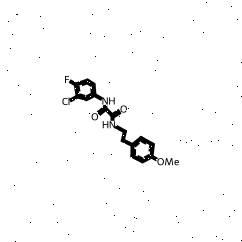 COc1ccc(CCNC(=O)C(=O)Nc2ccc(F)c(Cl)c2)cc1